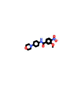 COc1cc(C(=O)NC2CCC(N3CCOCC3)CC2)ccc1[N+](=O)[O-]